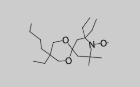 CCCCC1(CC)COC2(CC(C)(C)N([O])C(CC)(CC)C2)OC1